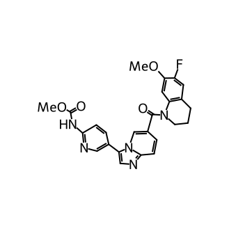 COC(=O)Nc1ccc(-c2cnc3ccc(C(=O)N4CCCc5cc(F)c(OC)cc54)cn23)cn1